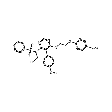 COc1ccc(-c2c(OCCOc3ncc(SC)cn3)ncnc2N(CC(C)C)S(=O)(=O)c2ccccc2)cc1